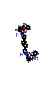 CCN(CC)C(C(=O)N1[C@@H]2C[C@@H]2C[C@H]1c1nc2cc(-c3ccc4cc(-c5ccc6nc([C@@H]7C[C@H]8C[C@H]8N7C(=O)C(c7ccccc7)N(CC)CC)[nH]c6c5)ccc4c3)ccc2[nH]1)c1ccccc1